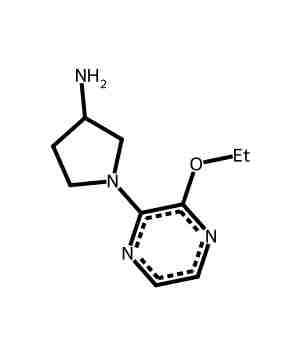 CCOc1nccnc1N1CCC(N)C1